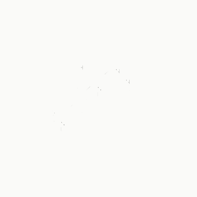 CCCc1ccc2c(Nc3cc(O)ccc3Sc3ccc(NC(C)=O)cc3)ccnc2n1